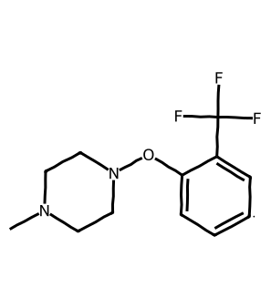 CN1CCN(Oc2cc[c]cc2C(F)(F)F)CC1